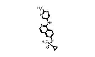 Cc1ncc(Nc2nccc3cc(N=S(C)(=O)C4CC4)ccc23)cn1